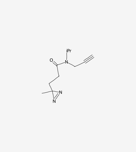 C#CCN(C(=O)CCC1(C)N=N1)C(C)C